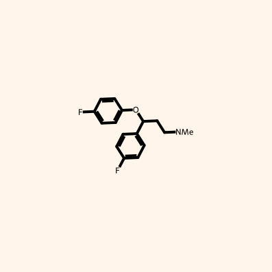 CNCCC(Oc1ccc(F)cc1)c1ccc(F)cc1